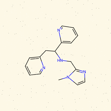 Cn1ccnc1CNC(Cc1ccccn1)c1ccccn1